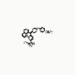 COc1ccc(CN2CCC(=C(c3ccc(C(=O)N(C(C)C)C(C)C)cc3)c3cccc4cccnc34)CC2)cc1